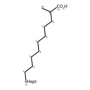 CCCCCCCCCCCCCCCC(C)C(=O)O